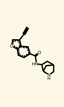 C#Cc1coc2ccc(C(=O)NC3CC4CNC3C4)cc12